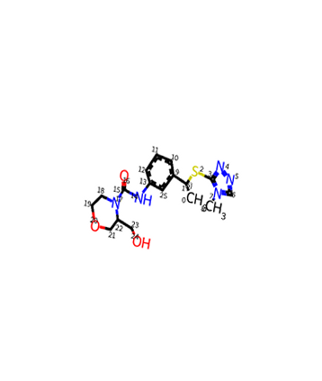 C[C@H](Sc1nncn1C)c1cccc(NC(=O)N2CCOCC2CO)c1